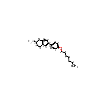 CCCCCCCOc1ccc(-c2ccc3c(c2)CCC(C)C3)cc1